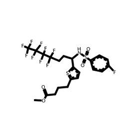 COC(=O)CCCc1ccc(C(CCC(F)(F)C(F)(F)C(F)(F)C(F)(F)F)NS(=O)(=O)c2ccc(F)cc2)s1